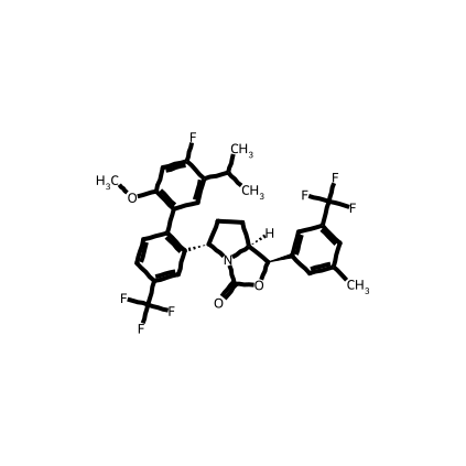 COc1cc(F)c(C(C)C)cc1-c1ccc(C(F)(F)F)cc1[C@@H]1CC[C@H]2[C@@H](c3cc(C)cc(C(F)(F)F)c3)OC(=O)N12